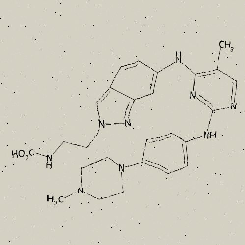 Cc1cnc(Nc2ccc(N3CCN(C)CC3)cc2)nc1Nc1ccc2cn(CCNC(=O)O)nc2c1